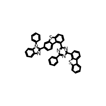 c1ccc(-c2nc(-c3cccc4c3sc3ccccc34)nc(-c3cccc4sc5cc(-c6nc7ccccc7n6-c6ccccc6)ccc5c34)n2)cc1